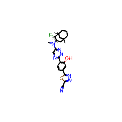 CN(c1cnc(-c2ccc(-c3nnc(C#N)s3)cc2O)nn1)[C@@H]1C[C@@]2(C)CCC[C@](C)(C2)[C@@H]1F